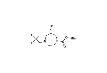 CC(C)(C)OC(=O)N1CCCN(C[B-](F)(F)F)CC1.[H+].[K]